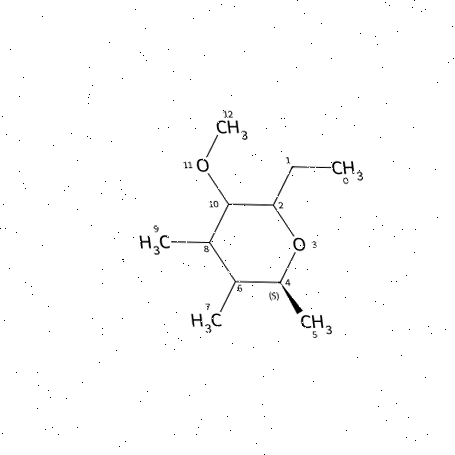 CCC1O[C@@H](C)C(C)C(C)C1OC